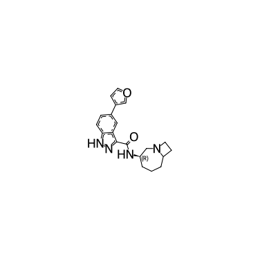 O=C(N[C@@H]1CCCC2CCN2C1)c1n[nH]c2ccc(-c3ccoc3)cc12